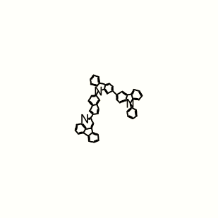 c1ccc(-n2c3ccccc3c3cc(-c4ccc5c6ccccc6n(-c6ccc7cc(-c8cc9c%10c(cccc%10n8)-c8ccccc8-9)ccc7c6)c5c4)ccc32)cc1